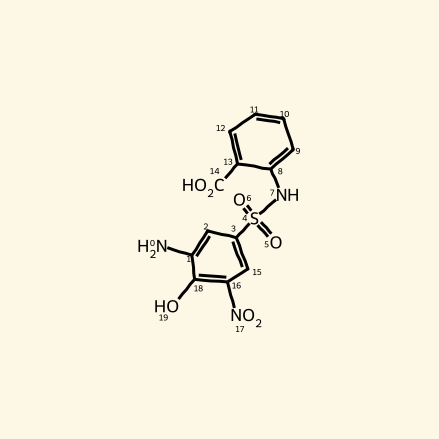 Nc1cc(S(=O)(=O)Nc2ccccc2C(=O)O)cc([N+](=O)[O-])c1O